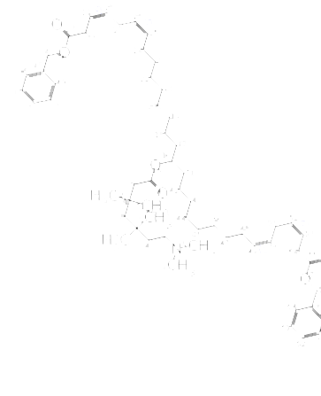 CN(C)CCC(C)(C)CC(C)(C)CC(=O)OC(CCCCCCCC/C=C\C/C=C\CC(=O)OCc1ccccc1)CCCCCCCC/C=C\C/C=C\CC(=O)OCc1ccccc1